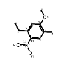 CCc1cc(OC)c(C)cc1[N+](=O)[O-]